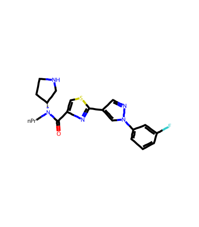 CCCN(C(=O)c1csc(-c2cnn(-c3cccc(F)c3)c2)n1)[C@@H]1CCNC1